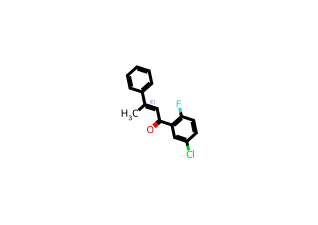 C/C(=C\C(=O)c1cc(Cl)ccc1F)c1ccccc1